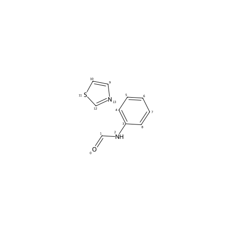 O=CNc1ccccc1.c1cscn1